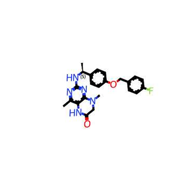 Cc1nc(N[C@@H](C)c2ccc(OCc3ccc(F)cc3)cc2)nc2c1NC(=O)CN2C